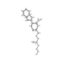 CCCC[S+]([O-])CCOc1ccc(-c2cn3ccncc3n2)c(OC)c1